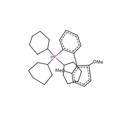 COc1cccc(OC)c1-c1ccccc1[PH](C1CCCCC1)(C1CCCCC1)C1CCCCC1